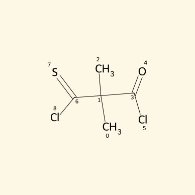 CC(C)(C(=O)Cl)C(=S)Cl